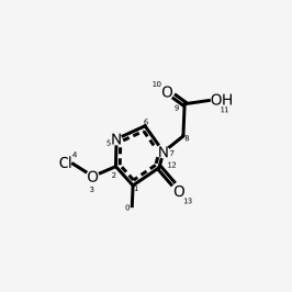 Cc1c(OCl)ncn(CC(=O)O)c1=O